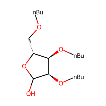 CCCCOC[C@H]1OC(O)[C@H](OCCCC)[C@@H]1OCCCC